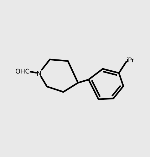 CC(C)c1cccc(C2CCN(C=O)CC2)c1